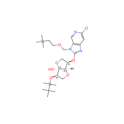 CC(C)(C)[Si](C)(C)O[C@@H]1CO[C@@H]2[C@H](Oc3nc4cc(Cl)ncc4n3COCC[Si](C)(C)C)CO[C@@]21O